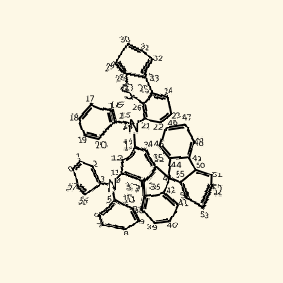 c1ccc(N(c2ccccc2)c2cc(N(c3ccccc3)c3cccc4c3sc3ccccc34)cc3c2-c2ccccc2C32c3ccccc3-c3ccccc32)cc1